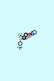 COC(=O)C1CC2CCCC(C1)N2C(=O)Cc1ccc2c(C(F)(F)F)c(O[C@H]3CC[C@@H](C(F)(F)F)CC3)ccc2c1